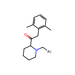 CC(=O)CN1CCCCC1C(=O)Cc1c(C)cccc1C